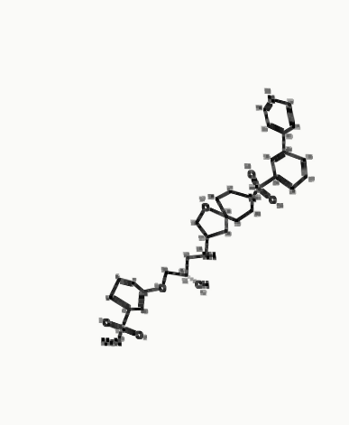 CNS(=O)(=O)c1cccc(OC[C@@H](O)CNC2COC3(CCN(S(=O)(=O)c4cccc(-c5ccncc5)c4)CC3)C2)c1